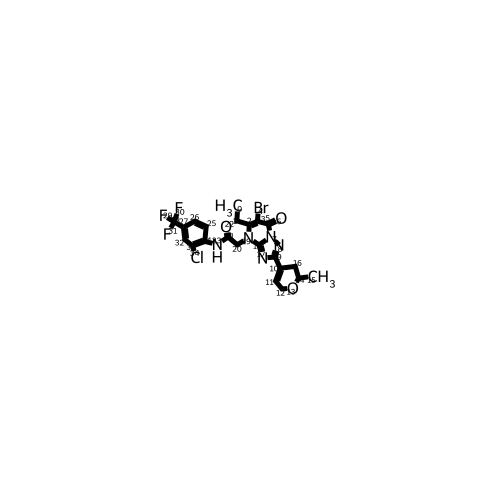 CCc1c(Br)c(=O)n2nc(C3=CCOC(C)C3)nc2n1CC(=O)Nc1ccc(C(F)(F)F)cc1Cl